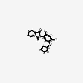 O=C1C2CCCCN2C(=O)N1c1cc(OC2CCCC2)c(Cl)cc1F